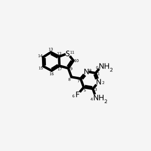 Nc1nc(N)c(F)c(Cc2csc3ccccc23)n1